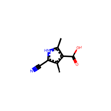 Cc1[nH]c(C#N)c(C)c1C(=O)O